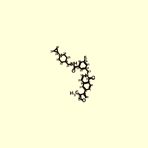 Cc1nocc1-c1ccc2c(=O)n(Cc3cc(F)cc(C(=O)NCC4CCN(C5CC5)CC4)c3)ccc2c1